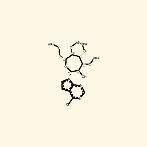 CCCCOC[C@H]1O[C@@H](n2ccc3c(Cl)ncnc32)[C@H](O)[C@H](OCCCC)[C@@H](OCCCC)[C@@H]1OCCCC